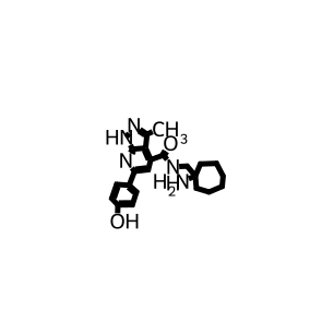 Cc1n[nH]c2nc(-c3ccc(O)cc3)cc(C(=O)NCC3(N)CCCCCC3)c12